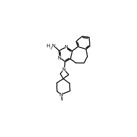 CN1CCC2(CC1)CN(c1nc(N)nc3c1CCCc1ccccc1-3)C2